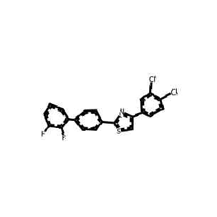 Fc1cccc(-c2ccc(-c3nc(-c4ccc(Cl)c(Cl)c4)cs3)cc2)c1F